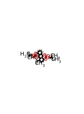 CCc1cccc2c(OC(=O)OCC(C)C)c3ccccc3c(OC(=O)OCC(C)C)c12